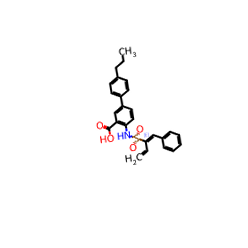 C=C/C(=C\c1ccccc1)S(=O)(=O)Nc1ccc(-c2ccc(CCC)cc2)cc1C(=O)O